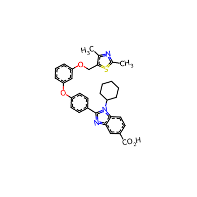 Cc1nc(C)c(COc2cccc(Oc3ccc(-c4nc5cc(C(=O)O)ccc5n4C4CCCCC4)cc3)c2)s1